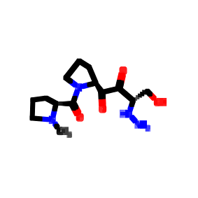 CN1CCC[C@H]1C(=O)N1CCC[C@H]1C(=O)C(=O)[C@H](CO)NN